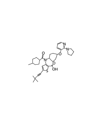 CC1CCC(C(=O)N(c2cc(C#CC(C)(C)C)sc2C(=O)O)C2CCC(Oc3cccnc3N3CCCC3)CC2)CC1